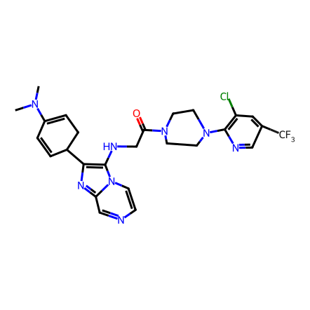 CN(C)C1=CCC(c2nc3cnccn3c2NCC(=O)N2CCN(c3ncc(C(F)(F)F)cc3Cl)CC2)C=C1